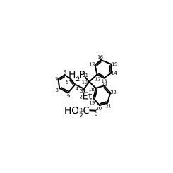 CC(=O)O.CCC(c1ccccc1)C(P)(c1ccccc1)c1ccccc1